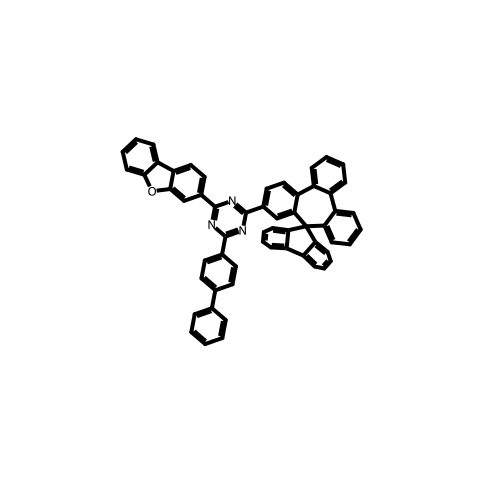 c1ccc(-c2ccc(-c3nc(-c4ccc5c(c4)C4(c6ccccc6-c6ccccc6-5)c5ccccc5-c5ccccc54)nc(-c4ccc5c(c4)oc4ccccc45)n3)cc2)cc1